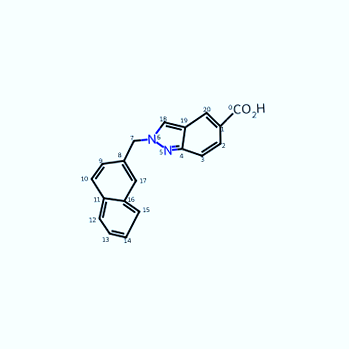 O=C(O)c1ccc2nn(Cc3ccc4ccccc4c3)cc2c1